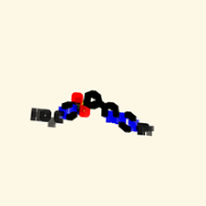 CC(C)N1CCN(c2ccc(-c3cccc(S(=O)(=O)N4CCN(C(=O)O)CC4)c3)cn2)CC1